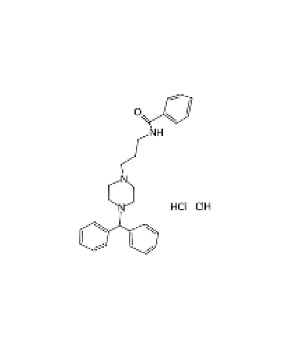 Cl.Cl.O=C(NCCCN1CCN(C(c2ccccc2)c2ccccc2)CC1)c1ccccc1